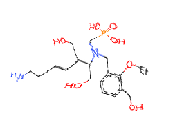 CCOc1c(CO)cccc1CN(CP(=O)(O)O)C(CO)C(CO)CCCCN